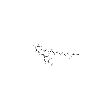 CCCCCCCN(C)C(=O)CCCCCCCCC1c2ccc(O)cc2SC1c1ccc(O)cc1